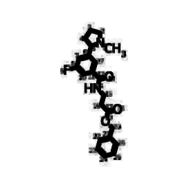 CN1CCCC1c1cc(F)cc(C(=O)NCCC(=O)OCc2ccccc2)c1